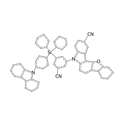 N#Cc1cc(-n2c3ccc(C#N)cc3c3c4oc5ccccc5c4ccc32)cc([Si](c2ccccc2)(c2ccccc2)c2ccc(-n3c4ccccc4c4ccccc43)cc2)c1